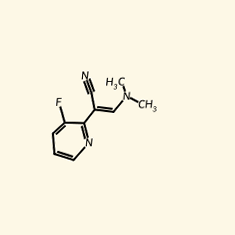 CN(C)/C=C(\C#N)c1ncccc1F